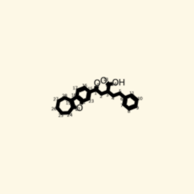 O=C(CC(CCc1ccccc1)C(=O)O)c1ccc2c3c(oc2c1)CCCCC3